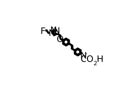 CN(C(=O)O)c1ccc(C=Cc2ccc(OCc3cn(CCF)nn3)cc2)cc1